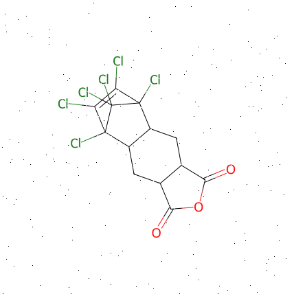 O=C1OC(=O)C2CC3C(CC12)C1(Cl)C(Cl)=C(Cl)C3(Cl)C1(Cl)Cl